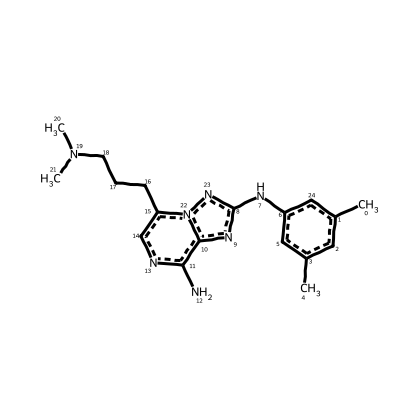 Cc1cc(C)cc(Nc2nc3c(N)ncc(CCCN(C)C)n3n2)c1